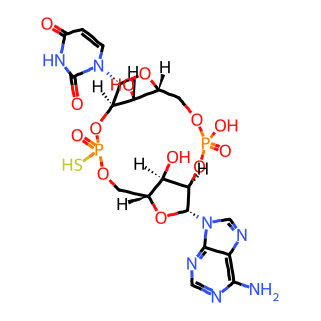 Nc1ncnc2c1ncn2[C@@H]1O[C@@H]2COP(=O)(S)O[C@@H]3[C@H](O)[C@@H](COP(=O)(O)O[C@@H]1[C@@H]2O)O[C@H]3n1ccc(=O)[nH]c1=O